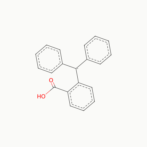 O=C(O)c1ccccc1[C](c1ccccc1)c1ccccc1